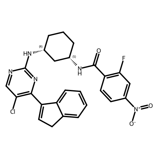 O=C(N[C@H]1CCC[C@@H](Nc2ncc(Cl)c(C3=CCc4ccccc43)n2)C1)c1ccc([N+](=O)[O-])cc1F